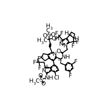 CC(C)(C#Cc1nc([C@H](Cc2cc(F)cc(F)c2)NC(=O)Cn2nc(C(F)(F)F)c3c2C(F)(F)[C@@H]2CC[C@H]32)c(-c2ccc(Cl)c3c(NS(C)(=O)=O)nn(CC(F)(F)F)c23)c2c1C[C@H](F)C2)S(C)(=O)=O